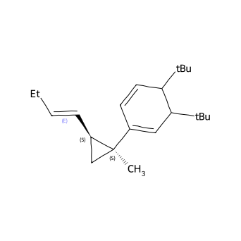 CC/C=C/[C@@H]1C[C@]1(C)C1=CC(C(C)(C)C)C(C(C)(C)C)C=C1